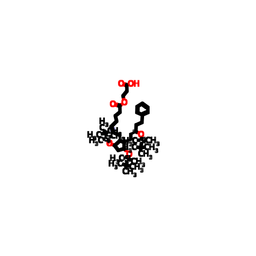 CC(C)(C)[Si](C)(C)OC1CC(O[Si](C)(C)C(C)(C)C)[C@H](CC[C@@H](CCc2ccccc2)O[Si](C)(C)C(C)(C)C)[C@H]1C/C=C\CCCC(=O)OCCC(=O)O